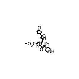 CC(C)N(C(=O)c1nc(C(=O)O)cn1Cc1cc(-c2ccc(Cl)s2)on1)C1CCNCC1